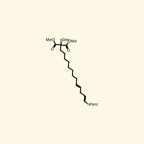 CCCCCC=CCC=CCCCCCCCCC(CCCCCCCCCC)(C(=O)OC)C(=O)OC